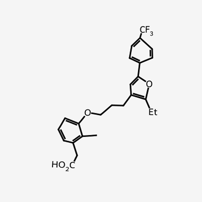 CCc1oc(-c2ccc(C(F)(F)F)cc2)cc1CCCOc1cccc(CC(=O)O)c1C